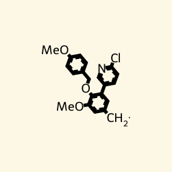 [CH2]c1cc(OC)c(OCc2ccc(OC)cc2)c(-c2ccc(Cl)nc2)c1